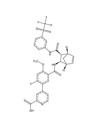 COc1cc(F)c(-c2ccnc(C(=O)O)c2)cc1C(=O)N[C@H]1[C@@H](C(=O)Nc2cccc(S(=O)(=O)C(F)(F)F)c2)[C@@H]2C=C[C@H]1C2